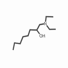 CCCCCCC(O)CN(CC)CC